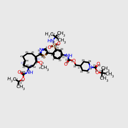 COC1=C(\c2ncc(-c3ccc(NC(=O)OCC4CCN(C(=O)OC(C)(C)C)CC4)cc3S(=O)(=O)NC(C)(C)C)s2)CCC/C=C/C(NC(=O)OC(C)C)=C\1